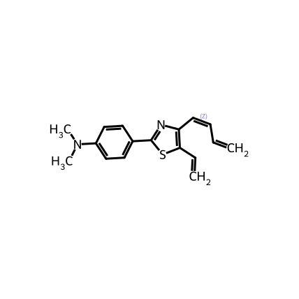 C=C/C=C\c1nc(-c2ccc(N(C)C)cc2)sc1C=C